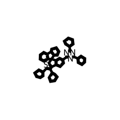 c1ccc(-c2nc(-c3ccccc3)nc(-c3ccc4c(c3)C3(c5ccccc5-c5ccccc53)c3sc(-c5ccccc5)c(-c5ccccc5)c3-4)n2)cc1